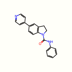 O=C(Nc1ccccc1)N1CCc2cc(-c3ccncc3)ccc21